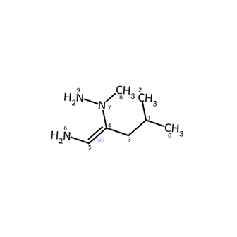 CC(C)C/C(=C/N)N(C)N